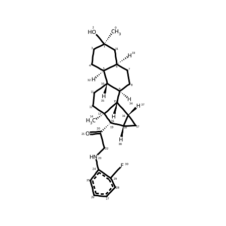 C[C@@]1(O)CC[C@H]2[C@H](CC[C@@H]3[C@@H]2CC[C@@]2(C)[C@H]3[C@@H]3C[C@@H]3[C@@H]2C(=O)CNc2ccccc2F)C1